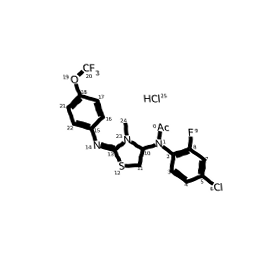 CC(=O)N(c1ccc(Cl)cc1F)C1CSC(=Nc2ccc(OC(F)(F)F)cc2)N1C.Cl